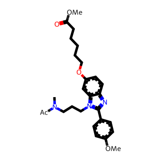 COC(=O)CCCCCOc1ccc2nc(-c3ccc(OC)cc3)n(CCCN(C)C(C)=O)c2c1